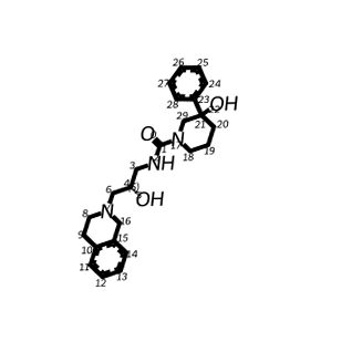 O=C(NC[C@H](O)CN1CCc2ccccc2C1)N1CCCC(O)(c2ccccc2)C1